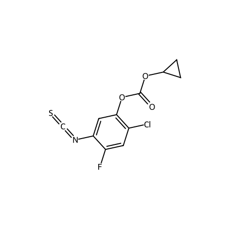 O=C(Oc1cc(N=C=S)c(F)cc1Cl)OC1CC1